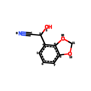 N#CC(O)c1cccc2c1OCO2